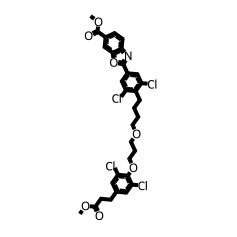 COC(=O)CCc1cc(Cl)c(OCCCOCCCCc2c(Cl)cc(-c3nc4ccc(C(=O)OC)cc4o3)cc2Cl)c(Cl)c1